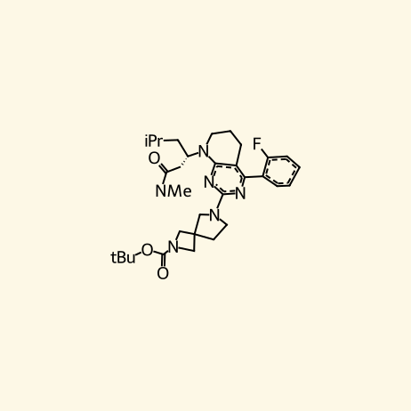 CNC(=O)C[C@H](CC(C)C)N1CCCc2c(-c3ccccc3F)nc(N3CCC4(CN(C(=O)OC(C)(C)C)C4)C3)nc21